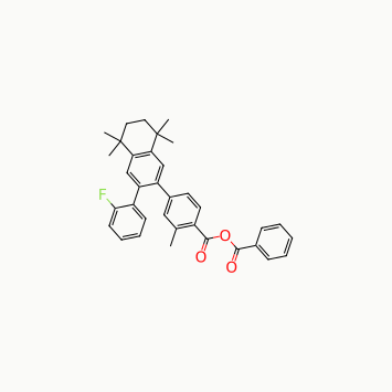 Cc1cc(-c2cc3c(cc2-c2ccccc2F)C(C)(C)CCC3(C)C)ccc1C(=O)OC(=O)c1ccccc1